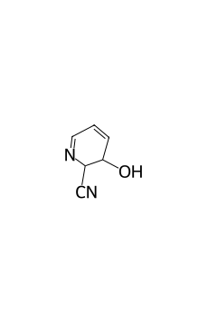 N#CC1N=CC=CC1O